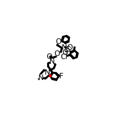 Cc1cccc(Cl)c1S(=O)(=O)N1c2ccccc2OCC1COCC(=O)N1CCC(c2cccc(F)c2)(N2CCN(C)CC2)CC1